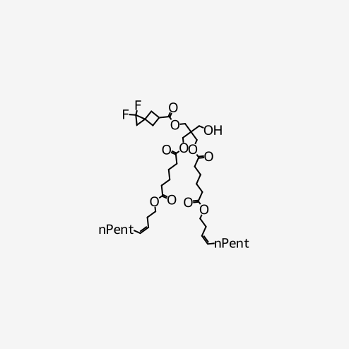 CCCCC/C=C\CCOC(=O)CCCCC(=O)OCC(CO)(COC(=O)CCCCC(=O)OCC/C=C\CCCCC)COC(=O)C1CC2(C1)CC2(F)F